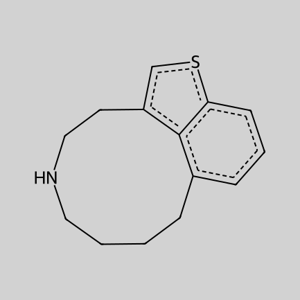 c1cc2c3c(csc3c1)CCNCCCC2